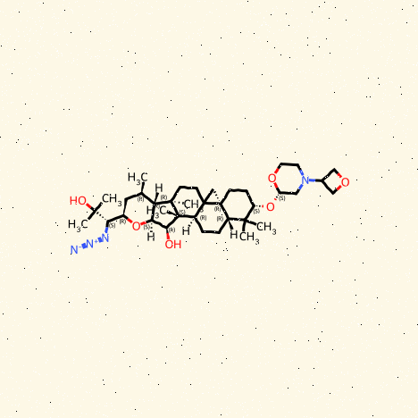 C[C@@H]1C[C@H]([C@H](N=[N+]=[N-])C(C)(C)O)O[C@H]2[C@H]1[C@@]1(C)CCC34C[C@@]35CC[C@H](O[C@H]3CN(C6COC6)CCO3)C(C)(C)[C@@H]5CC[C@H]4[C@]1(C)[C@H]2O